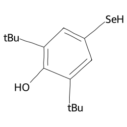 CC(C)(C)c1cc([SeH])cc(C(C)(C)C)c1O